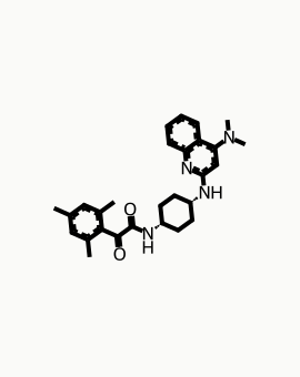 Cc1cc(C)c(C(=O)C(=O)N[C@H]2CC[C@@H](Nc3cc(N(C)C)c4ccccc4n3)CC2)c(C)c1